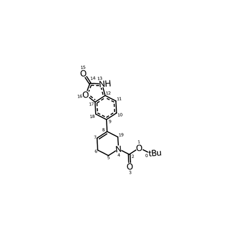 CC(C)(C)OC(=O)N1CCC=C(c2ccc3[nH]c(=O)oc3c2)C1